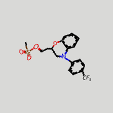 CS(=O)(=O)OCC1CN(c2ccc(C(F)(F)F)cc2)c2ccccc2O1